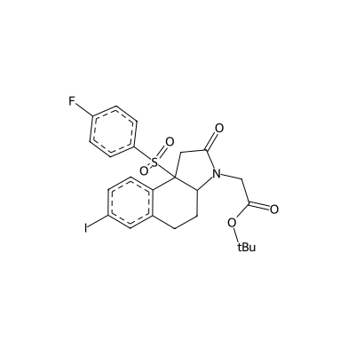 CC(C)(C)OC(=O)CN1C(=O)CC2(S(=O)(=O)c3ccc(F)cc3)c3ccc(I)cc3CCC12